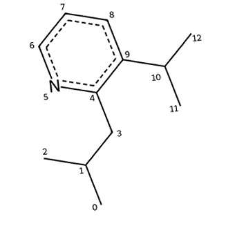 CC(C)Cc1ncccc1C(C)C